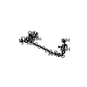 Cc1ncsc1-c1ccc([C@H](CC(=O)NCCOCCOCCOCCOCCOCCNC(=O)CN2CCN(C(=O)c3ccc(Nc4nc(C5CC5)cn5c(-c6cn[nH]c6)cnc45)c(F)c3)CC2)NC(=O)[C@@H]2C[C@@H](O)CN2C(=O)[C@@H](NC(=O)C2(F)CC2)C(C)(C)C)cc1